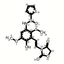 COc1cc(N[S+]([O-])c2cccs2)c(SC)c(/C=C/N2C(=O)COC2=O)c1O